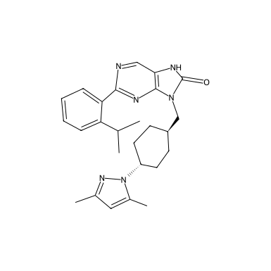 Cc1cc(C)n([C@H]2CC[C@H](Cn3c(=O)[nH]c4cnc(-c5ccccc5C(C)C)nc43)CC2)n1